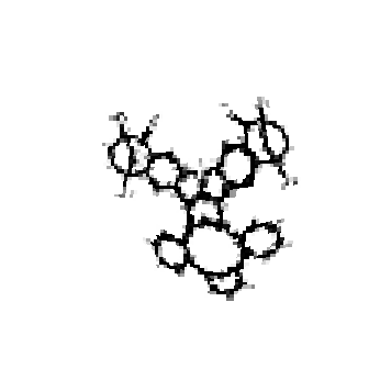 CC(C)C12CCC(C(C)C)(CC1)c1cc3c4c5cc(c6ccccc6c6cccc(c6)c6ccccc65)c5c6cc7c(cc6n(c3cc1C2=O)c45)C(=O)C1(C(C)C)CCC7(C(C)C)CC1